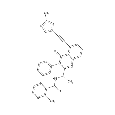 Cc1nccnc1C(=O)N[C@@H](C)c1oc2cccc(C#Cc3cnn(C)c3)c2c(=O)c1-c1ccccc1